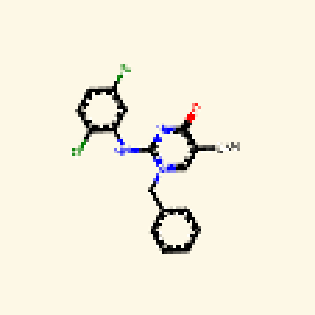 COc1cn(Cc2ccccc2)c(Nc2cc(Br)ccc2Cl)nc1=O